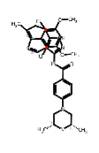 COc1cc(OC)c(Cl)c(C2=C(/C)CCc3[nH]nc(NC(=O)c4ccc(N5C[C@@H](C)N[C@@H](C)C5)cc4)c3/C=N\2)c1Cl